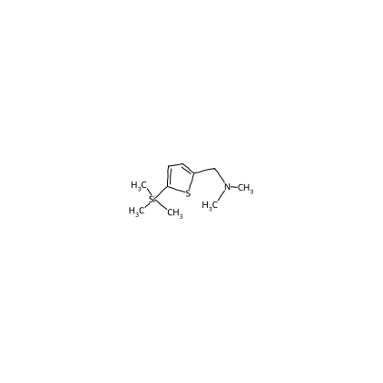 CN(C)Cc1ccc([Si](C)(C)C)s1